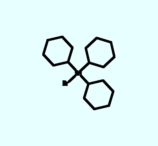 [Br][Sn]([CH]1CCCCC1)([CH]1CCCCC1)[CH]1CCCCC1